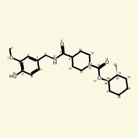 COc1cc(CNC(=O)C2CCN(C(=O)O[C@@H]3CCCC[C@H]3C)CC2)ccc1O